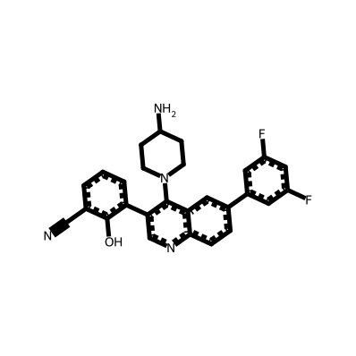 N#Cc1cccc(-c2cnc3ccc(-c4cc(F)cc(F)c4)cc3c2N2CCC(N)CC2)c1O